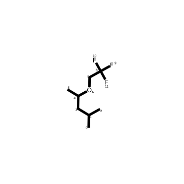 CC(C)CC(C)OCC(F)(F)F